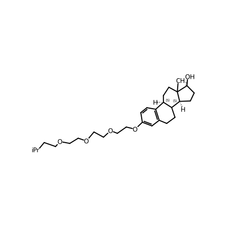 CC(C)CCOCCOCCOCCOc1ccc2c(c1)CCC1[C@@H]2CCC2(C)C(O)CC[C@@H]12